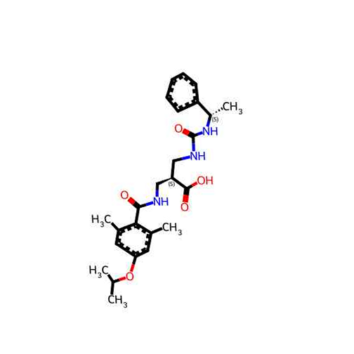 Cc1cc(OC(C)C)cc(C)c1C(=O)NC[C@@H](CNC(=O)N[C@@H](C)c1ccccc1)C(=O)O